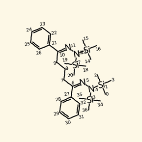 C[Si](C)(C)N(N=C(CCCC(=NN([Si](C)(C)C)[Si](C)(C)C)c1ccccc1)c1ccccc1)[Si](C)(C)C